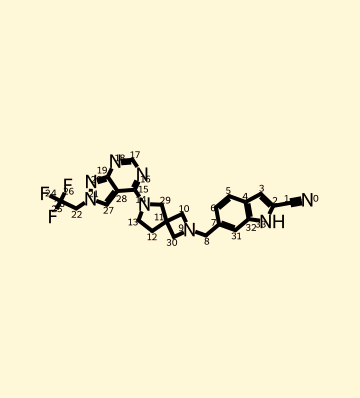 N#Cc1cc2ccc(CN3CC4(CCN(c5ncnc6nn(CC(F)(F)F)cc56)C4)C3)cc2[nH]1